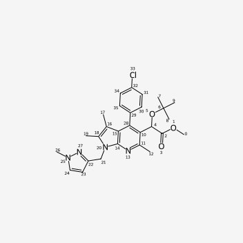 COC(=O)C(OC(C)(C)C)c1c(C)nc2c(c(C)c(C)n2Cc2ccn(C)n2)c1-c1ccc(Cl)cc1